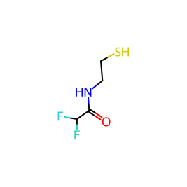 O=C(NCCS)C(F)F